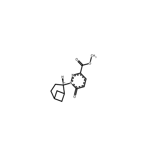 COC(=O)c1ccc(=O)n([C@H]2CCC3CC2C3)n1